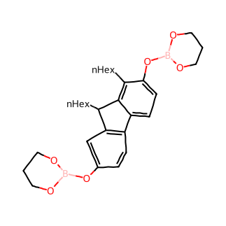 CCCCCCc1c(OB2OCCCO2)ccc2c1C(CCCCCC)c1cc(OB3OCCCO3)ccc1-2